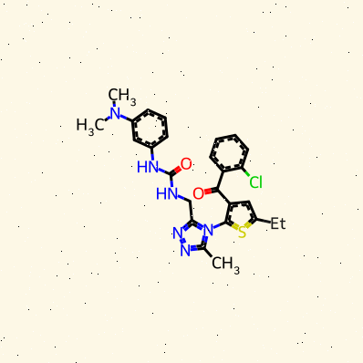 CCc1cc(C(=O)c2ccccc2Cl)c(-n2c(C)nnc2CNC(=O)Nc2cccc(N(C)C)c2)s1